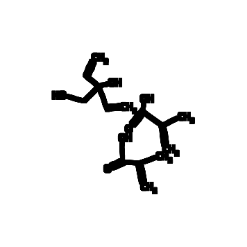 C=C(C)C(=O)O.C=C(C)C(=O)O.C=CC(O)(C=C)CO